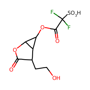 O=C1OC2C(OC(=O)C(F)(F)S(=O)(=O)O)C2C1CCO